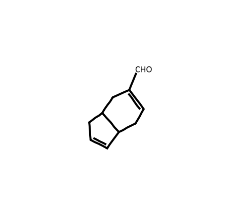 O=CC1=CCC2C=CCC2C1